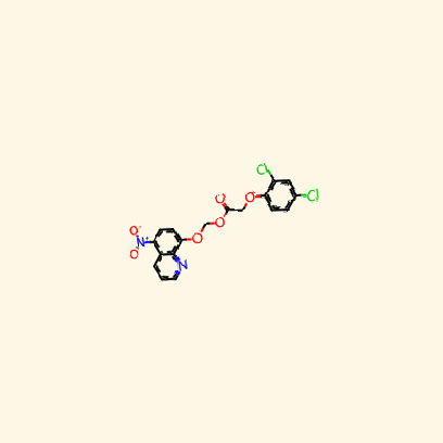 O=C(COc1ccc(Cl)cc1Cl)OCOc1ccc([N+](=O)[O-])c2cccnc12